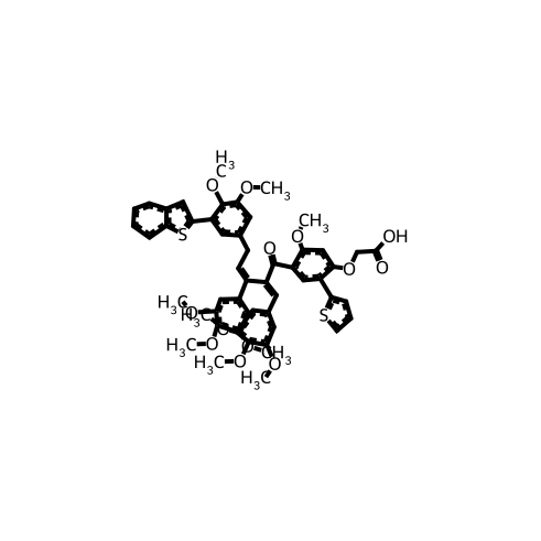 COc1cc(OCC(=O)O)c(-c2cccs2)cc1C(=O)C(=Cc1cc(OC)c(OC)c(OC)c1)C(=CCc1cc(OC)c(OC)c(-c2cc3ccccc3s2)c1)c1cc(OC)c(OC)c(OC)c1